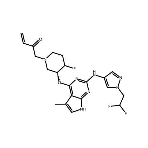 C=CC(=O)CN1CCC(F)[C@@H](Oc2nc(Nc3cnn(CC(F)F)c3)nc3[nH]cc(C)c23)C1